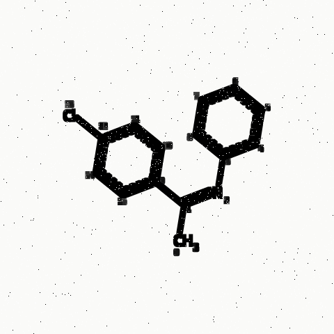 CC(=Nc1ccccc1)c1ccc(Cl)cc1